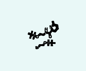 CC(C)(C)[Si](C)(C)OCCBr.Cc1cccc(C(=O)NCCO[Si](C)(C)C(C)(C)C)n1